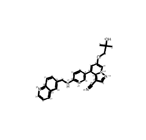 CC(C)(O)COc1cc(-c2ccc(NCc3ccc4ncccc4c3)nc2)c2c(C#N)cnn2c1